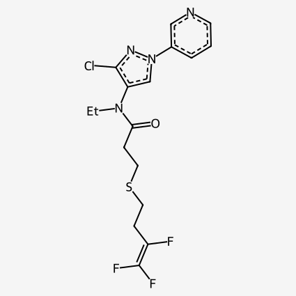 CCN(C(=O)CCSCCC(F)=C(F)F)c1cn(-c2cccnc2)nc1Cl